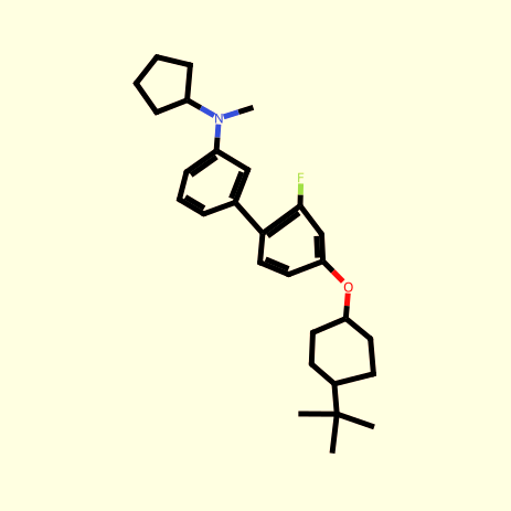 CN(c1cccc(-c2ccc(OC3CCC(C(C)(C)C)CC3)cc2F)c1)C1CCCC1